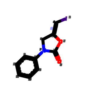 O=C1O/C(=C\I)CN1c1ccccc1